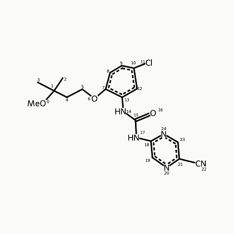 COC(C)(C)CCOc1ccc(Cl)cc1NC(=O)Nc1cnc(C#N)cn1